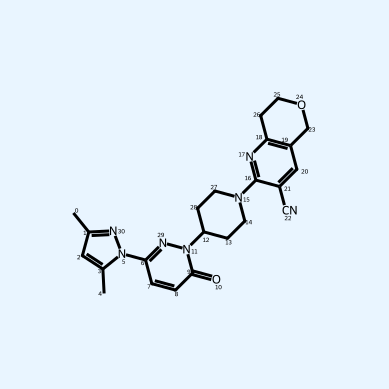 Cc1cc(C)n(-c2ccc(=O)n(C3CCN(c4nc5c(cc4C#N)COCC5)CC3)n2)n1